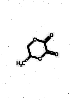 CC1COC(=O)C(=O)O1